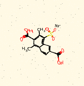 Cc1c(C(=O)O)c(C)c2ccc(C(=O)O)cc2c1S(=O)(=O)[O-].[Na+]